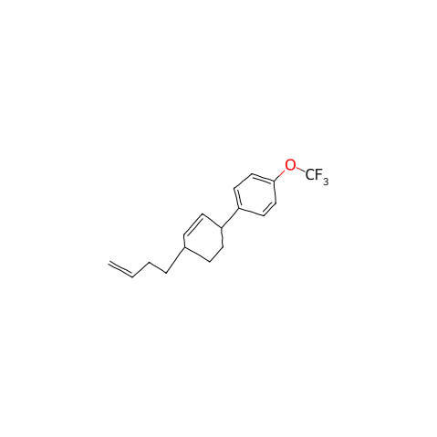 C=CCCC1C=CC(c2ccc(OC(F)(F)F)cc2)CC1